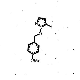 COc1ccc(COn2nccc2I)cc1